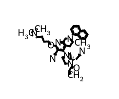 C=CC(=O)N1CCN(c2c(C#N)c(OCCCCN(C)C)nc3c2CCN(c2cccc4cccc(C)c24)C3)C[C@@H]1CC#N